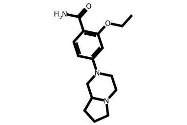 CCOc1cc(N2CCN3CCCC3C2)ccc1C(N)=O